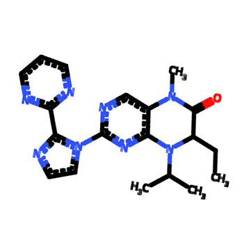 CCC1C(=O)N(C)c2cnc(-n3ccnc3-c3ncccn3)nc2N1C(C)C